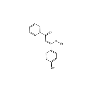 CCO/C(=C\C(=O)c1ccccc1)c1ccc(C(C)C)cc1